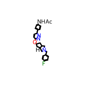 CC(=O)Nc1ccc(-c2ccc(O[C@@H]3CC4CN(Cc5ccc(F)cc5)C[C@H]4C3)nn2)cc1